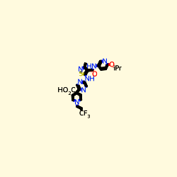 Cc1nsc(Nc2cnc(C3(C(=O)O)CCN(CCC(F)(F)F)CC3)cn2)c1C(=O)Nc1ccc(OC(C)C)nc1